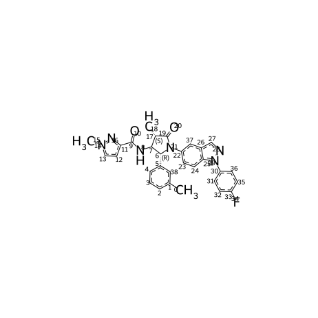 Cc1cccc([C@@H]2C(NC(=O)c3ccn(C)n3)[C@H](C)C(=O)N2c2ccc3c(cnn3-c3ccc(F)cc3)c2)c1